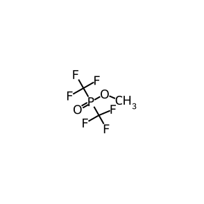 COP(=O)(C(F)(F)F)C(F)(F)F